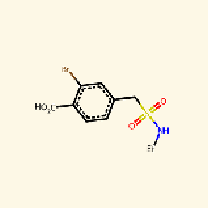 CCNS(=O)(=O)Cc1ccc(C(=O)O)c(Br)c1